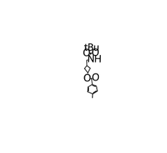 Cc1ccc(C(=O)OC2CC(CNC(=O)OC(C)(C)C)C2)cc1